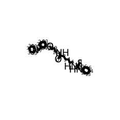 O=C(CCCCCNC(=S)Nc1ccccc1)NCCCOc1cccc(CN2CCCCC2)c1